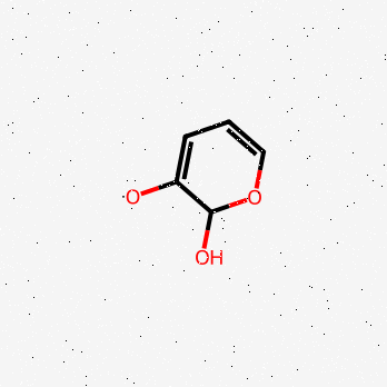 [O]C1=CC=COC1O